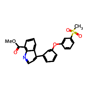 COC(=O)c1cccc2c(-c3cccc(Oc4cccc(S(C)(=O)=O)c4)c3)ccnc12